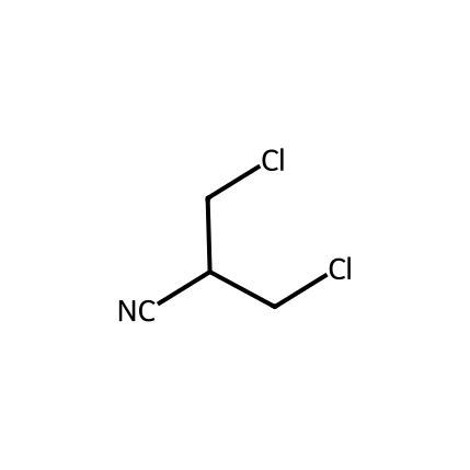 N#CC(CCl)CCl